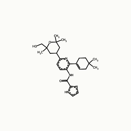 CC1(C)CC=C(c2nc(C3CC(C)(C)OC(C)(CO)C3)ccc2NC(=O)c2ncc[nH]2)CC1